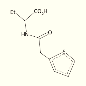 CCC(NC(=O)Cc1cccs1)C(=O)O